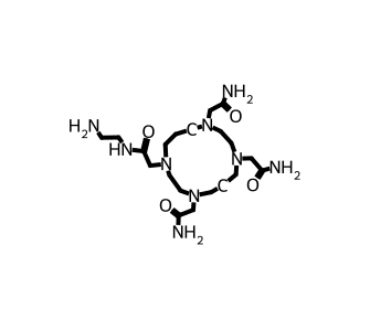 NCCNC(=O)CN1CCCN(CC(N)=O)CCN(CC(N)=O)CCCN(CC(N)=O)CC1